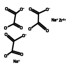 O=C([O-])C(=O)[O-].O=C([O-])C(=O)[O-].O=C([O-])C(=O)[O-].[Na+].[Na+].[Zr+4]